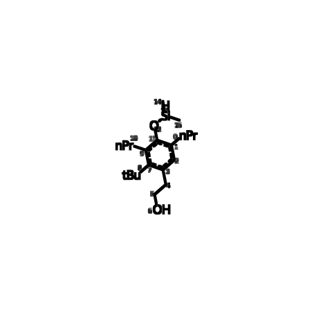 CCCc1cc(CCO)c(C(C)(C)C)c(CCC)c1O[SiH](C)C